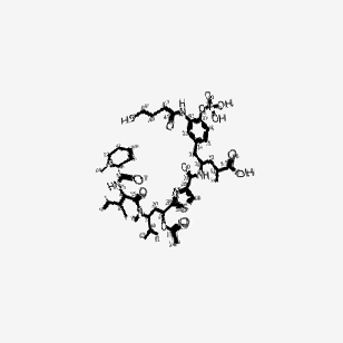 CCC(C)C(NC(=O)[C@H]1CCCCN1C)C(=O)N(C)C(CC(OC(C)=O)c1nc(C(=O)NC(Cc2ccc(OP(=O)(O)O)c(NC(=O)CCCS)c2)CC(C)C(=O)O)cs1)C(C)C